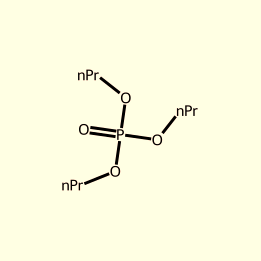 CCCOP(=O)(OCCC)OCCC